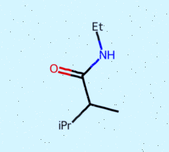 CCNC(=O)C(C)C(C)C